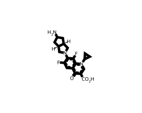 NC1C[C@@H]2CN(c3c(F)cc4c(=O)c(C(=O)O)cn(C5CC5)c4c3F)C[C@@H]2C1